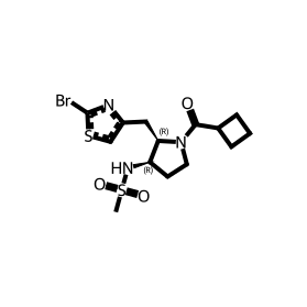 CS(=O)(=O)N[C@@H]1CCN(C(=O)C2CCC2)[C@@H]1Cc1csc(Br)n1